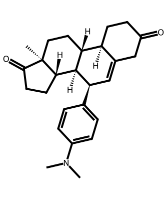 CN(C)c1ccc([C@@H]2C=C3CC(=O)CC[C@@H]3[C@H]3CC[C@]4(C)C(=O)CC[C@H]4[C@@H]32)cc1